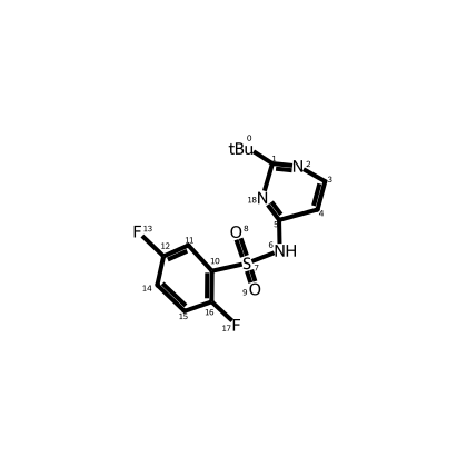 CC(C)(C)c1nccc(NS(=O)(=O)c2cc(F)ccc2F)n1